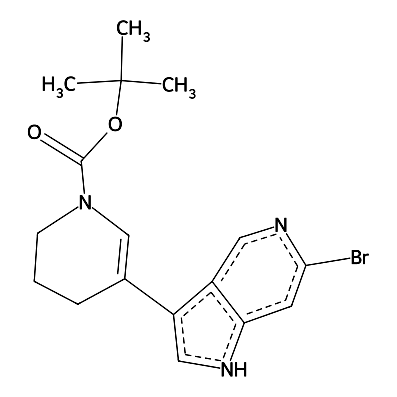 CC(C)(C)OC(=O)N1C=C(c2c[nH]c3cc(Br)ncc23)CCC1